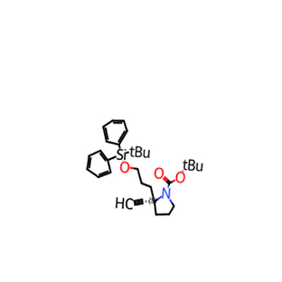 C#C[C@@]1(CCCO[Si](c2ccccc2)(c2ccccc2)C(C)(C)C)CCCN1C(=O)OC(C)(C)C